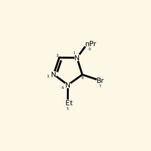 CCCN1C=NN(CC)C1Br